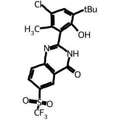 Cc1c(Cl)cc(C(C)(C)C)c(O)c1-c1nc2ccc(S(=O)(=O)C(F)(F)F)cc2c(=O)[nH]1